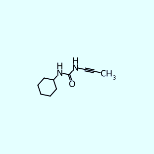 CC#CNC(=O)NC1CCCCC1